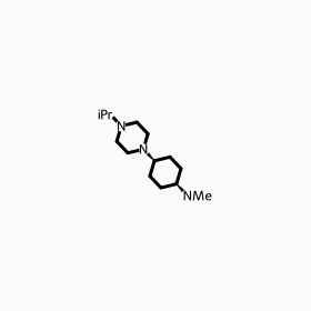 CN[C@H]1CC[C@@H](N2CCN(C(C)C)CC2)CC1